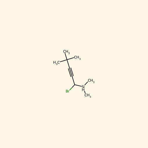 C[SiH](C)C(Br)C#CC(C)(C)C